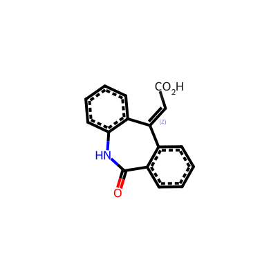 O=C(O)/C=C1\c2ccccc2NC(=O)c2ccccc21